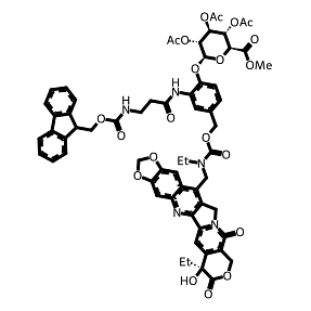 CCN(Cc1c2c(nc3cc4c(cc13)OCO4)-c1cc3c(c(=O)n1C2)COC(=O)[C@]3(O)CC)C(=O)OCc1ccc(O[C@@H]2O[C@H](C(=O)OC)[C@@H](OC(C)=O)[C@H](OC(C)=O)[C@H]2OC(C)=O)c(NC(=O)CCNC(=O)OCC2c3ccccc3-c3ccccc32)c1